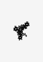 C[C@@H](c1ccccc1)N1CCN([C@@H](C)c2ccccc2)P1OCCNC(=S)Nc1ccccc1